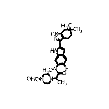 CC(C(=O)N(C)c1cc2[nH]c(-c3n[nH]c4c3CCC(C)(C)C4)cc2cc1F)N1CCN(C=O)CC1